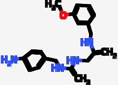 C=C(CNC(=C)NCc1ccc(N)cc1)NCc1cccc(OC)c1